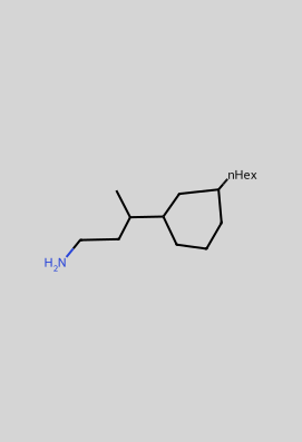 CCCCCCC1CCCC(C(C)CCN)C1